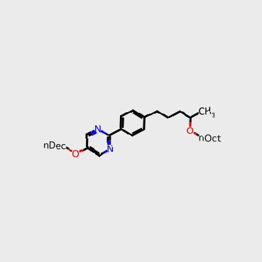 CCCCCCCCCCOc1cnc(-c2ccc(CCCC(C)OCCCCCCCC)cc2)nc1